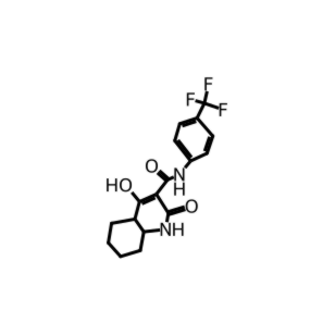 O=C(Nc1ccc(C(F)(F)F)cc1)C1=C(O)C2CCCCC2NC1=O